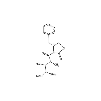 COC(OC)C(O)C(C)C(=O)N1C(=O)OC[C@H]1Cc1ccccc1